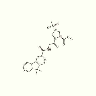 COC(=O)[C@@H]1C[C@@H](S(C)(=O)=O)CN1C(=O)CNC(=O)c1ccc2c(c1)C1C=CC=CC1C2(C)C